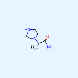 CC(C([NH])=O)N1CCNCC1